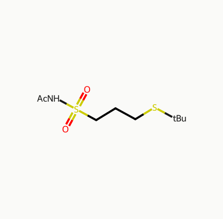 CC(=O)NS(=O)(=O)CCCSC(C)(C)C